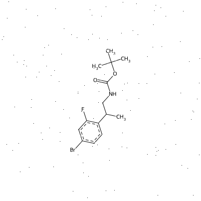 CC(CNC(=O)OC(C)(C)C)c1ccc(Br)cc1F